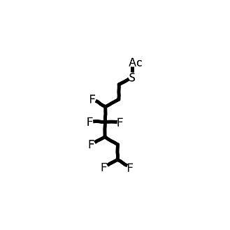 CC(=O)SCCC(F)C(F)(F)C(F)CC(F)F